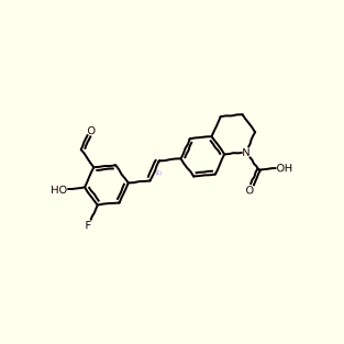 O=Cc1cc(/C=C/c2ccc3c(c2)CCCN3C(=O)O)cc(F)c1O